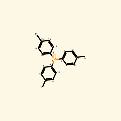 Cc1ccc([PH](c2ccc(C)cc2)c2ccc(C)cc2)cc1